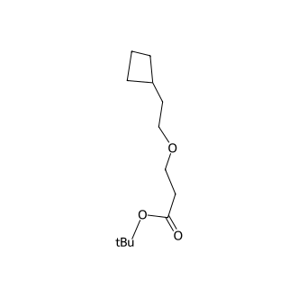 CC(C)(C)OC(=O)CCOCCC1CCC1